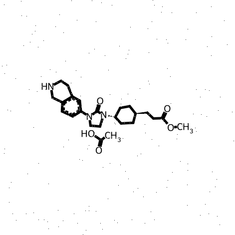 CC(=O)O.COC(=O)CC[C@H]1CC[C@H](N2CCN(c3ccc4c(c3)CCNC4)C2=O)CC1